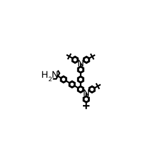 CCC(N)(CC)c1ccc(-c2ccc(-c3ccc(N(c4ccc(C(C)(C)C)cc4)c4ccc(C(C)(C)C)cc4)cc3-c3ccc(-c4ccc(N(c5ccc(C(C)(C)C)cc5)c5ccc(C(C)(C)C)cc5)cc4)cc3)cc2)cc1